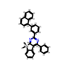 C[Si]1(C)c2ccccc2-c2c(-c3ccccc3)nc(-c3cccc(-c4cccc5ccccc45)c3)nc21